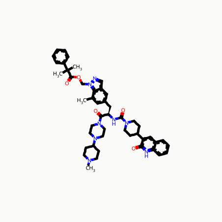 Cc1cc(C[C@@H](NC(=O)N2CCC(c3cc4ccccc4[nH]c3=O)CC2)C(=O)N2CCN(C3CCN(C)CC3)CC2)cc2cnn(COC(=O)C(C)(C)c3ccccc3)c12